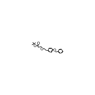 CC(C)(C)OC(=O)CCOCCc1ccc(OCc2ccccc2)cc1